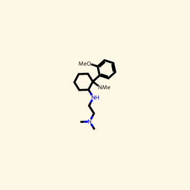 CNC1(c2ccccc2OC)CCCCC1NCCN(C)C